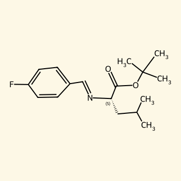 CC(C)C[C@H](N=Cc1ccc(F)cc1)C(=O)OC(C)(C)C